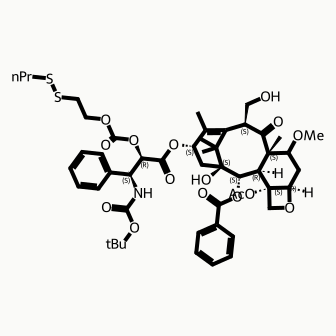 CCCSSCCOC(=O)O[C@@H](C(=O)O[C@H]1C[C@@]2(O)[C@@H](OC(=O)c3ccccc3)[C@@H]3[C@]4(OC(C)=O)CO[C@@H]4CC(OC)[C@@]3(C)C(=O)[C@H](CO)C(=C1C)C2(C)C)[C@@H](NC(=O)OC(C)(C)C)c1ccccc1